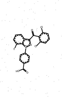 O=C(O)c1ccc(-n2nc(C(=O)c3c(Cl)cccc3Cl)c3cccc(F)c32)cc1